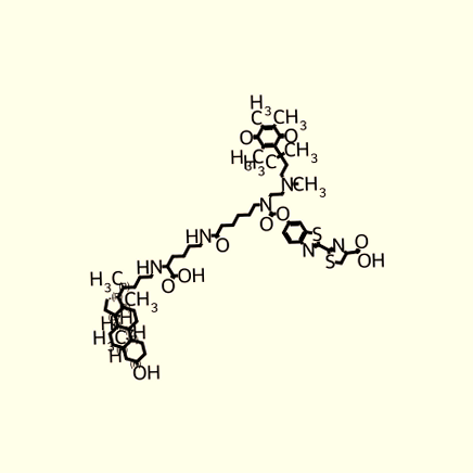 CC1=C(C)C(=O)C(C(C)(C)CCN(C)CCN(CCCCCC(=O)NCCCCC(NCCC[C@@H](C)[C@H]2CC[C@H]3[C@@H]4CC[C@@H]5C[C@H](O)CC[C@]5(C)[C@H]4CC[C@]23C)C(=O)O)C(=O)Oc2ccc3nc(C4=NC(C(=O)O)CS4)sc3c2)=C(C)C1=O